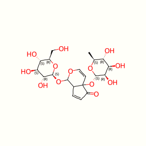 C[C@@H]1O[C@@H](OC23C=COC(O[C@@H]4O[C@H](CO)[C@@H](O)[C@H](O)[C@H]4O)C2C=CC3=O)[C@H](O)[C@H](O)[C@H]1O